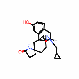 O=C1CC[C@@]2(CC[C@H]3[C@H]4Cc5ccc(O)cc5[C@@]3(CCN4CC3CC3)C2)N1